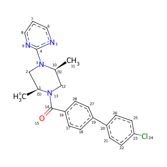 C[C@H]1CN(c2ncccn2)[C@@H](C)CN1C(=O)c1ccc(-c2ccc(Cl)cc2)cc1